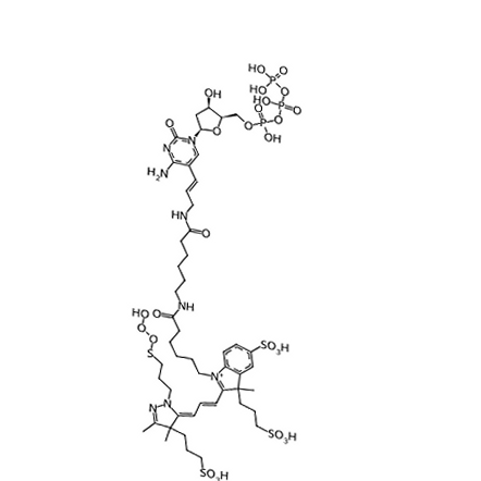 CC1=NN(CCCSOOO)/C(=C\C=C\C2=[N+](CCCCCC(=O)NCCCCCC(=O)NC/C=C/c3cn([C@H]4C[C@@H](O)[C@@H](COP(=O)(O)OP(=O)(O)OP(=O)(O)O)O4)c(=O)nc3N)c3ccc(S(=O)(=O)O)cc3C2(C)CCCS(=O)(=O)O)C1(C)CCCS(=O)(=O)O